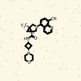 N#Cc1ccc(N2C[C@]3(C(=O)N[C@H]4C[C@@H](N5CCOCC5)C4)C[C@]3(C(F)(F)F)C2)c2cccnc12